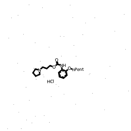 CCCCCOc1ccccc1NC(=O)OCCCN1CCCC1.Cl